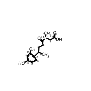 CC(CCC(=O)N(C)CC(=O)O)c1ccc(O)cc1O